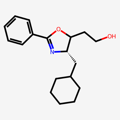 OCCC1OC(c2ccccc2)=N[C@H]1CC1CCCCC1